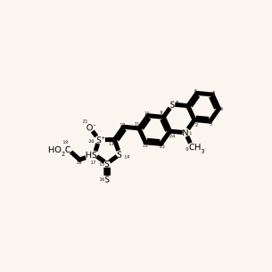 CN1c2ccccc2Sc2cc(/C=C3\SS(=S)[SH](CC(=O)O)[S+]3[O-])ccc21